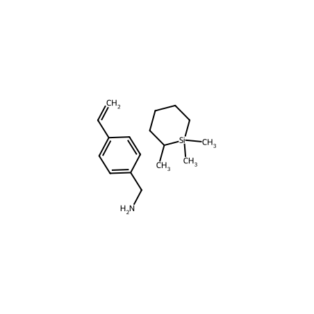 C=Cc1ccc(CN)cc1.CC1CCCC[Si]1(C)C